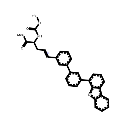 COC(=O)C(C/C=C/c1cccc(-c2cccc(-c3cccc4c3oc3ccccc34)c2)c1)NC(=O)OC(C)(C)C